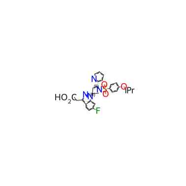 CC(C)Oc1ccc(S(=O)(=O)N2C[C@H](n3nc(CC(=O)O)c4ccc(F)cc43)C[C@@H]2c2ccccn2)cc1